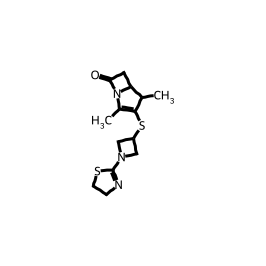 CC1=C(SC2CN(C3=NCCS3)C2)C(C)C2CC(=O)N12